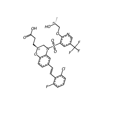 C[C@@H](O)COc1ncc(C(F)(F)F)cc1S(=O)(=O)N1C[C@H](CCC(=O)O)Oc2ccc(C=Cc3c(F)cccc3Cl)cc21